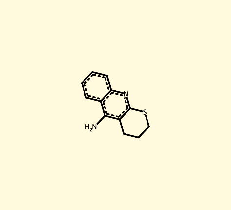 Nc1c2c(nc3ccccc13)SCCC2